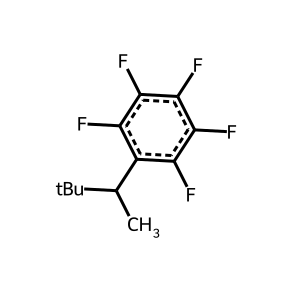 CC(c1c(F)c(F)c(F)c(F)c1F)C(C)(C)C